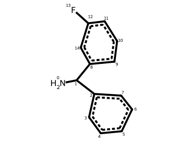 NC(c1ccccc1)c1cccc(F)c1